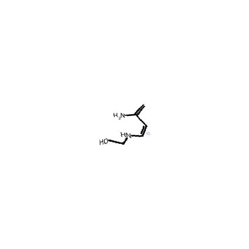 C=C(N)/C=C\NCO